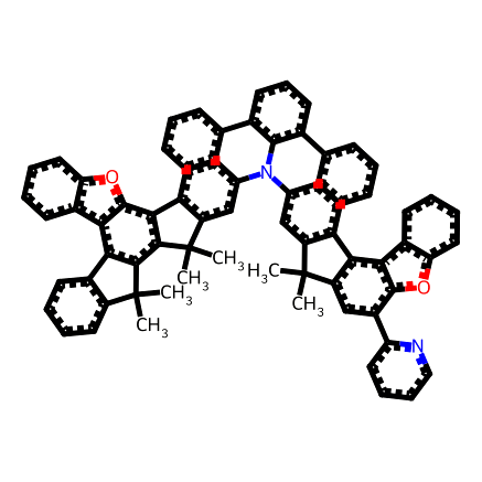 CC1(C)c2cc(N(c3ccc4c(c3)C(C)(C)c3c5c(c6c(oc7ccccc76)c3-4)-c3ccccc3C5(C)C)c3c(-c4ccccc4)cccc3-c3ccccc3)ccc2-c2c1cc(-c1ccccn1)c1oc3ccccc3c21